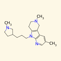 Cc1cnc2c(c1)c1c(n2CCCC2CCN(C)C2)CCN(C)C1